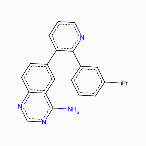 CC(C)c1cccc(-c2ncccc2-c2ccc3ncnc(N)c3c2)c1